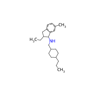 CCCC1CCC(CNC2c3cc(C)ccc3CC2CC)CC1